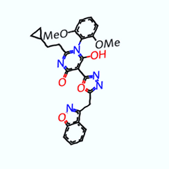 COc1cccc(OC)c1-n1c(CCC2CC2)nc(=O)c(-c2nnc(Cc3noc4ccccc34)o2)c1O